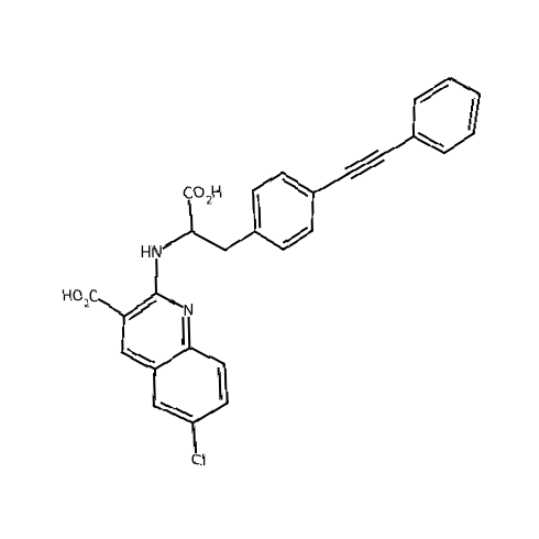 O=C(O)c1cc2cc(Cl)ccc2nc1NC(Cc1ccc(C#Cc2ccccc2)cc1)C(=O)O